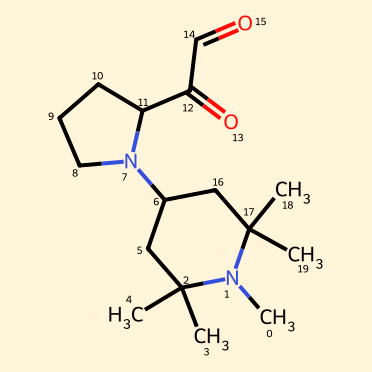 CN1C(C)(C)CC(N2CCCC2C(=O)C=O)CC1(C)C